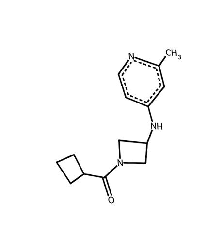 Cc1cc(NC2CN(C(=O)C3CCC3)C2)ccn1